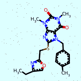 CCc1coc(CSc2nc3c(c(=O)n(C)c(=O)n3C)n2Cc2ccc(C)cc2)n1